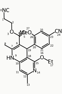 [C-]#[N+]CCOC(=O)C1=C(C)Nc2cc(C)nc(OCC)c2C1c1ccc(C#N)cc1OC